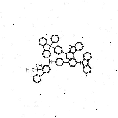 CC1(C)c2ccccc2-c2ccc(N(c3ccc(-c4ccc(-n5c6ccccc6c6ccccc65)cc4)cc3)c3ccc4c(c3)C(c3ccccc3)(c3ccc(-c5cccc6c5oc5ccccc56)cc3)c3ccccc3-4)cc21